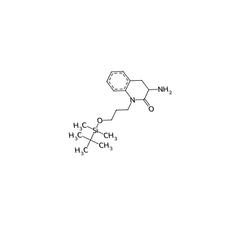 CC(C)(C)[Si](C)(C)OCCCN1C(=O)C(N)Cc2ccccc21